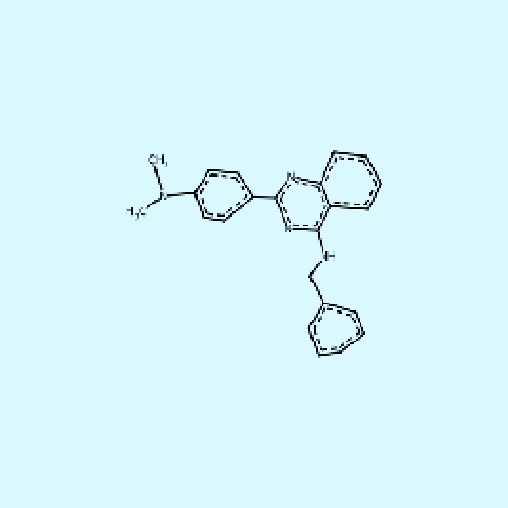 CN(C)c1ccc(-c2nc(NCc3ccccc3)c3ccccc3n2)cc1